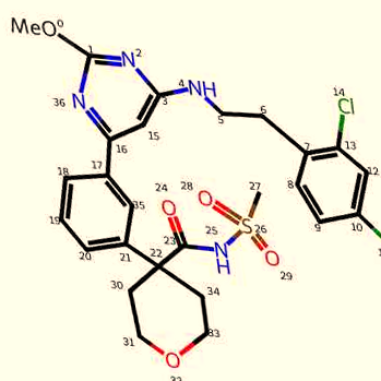 COc1nc(NCCc2ccc(Cl)cc2Cl)cc(-c2cccc(C3(C(=O)NS(C)(=O)=O)CCOCC3)c2)n1